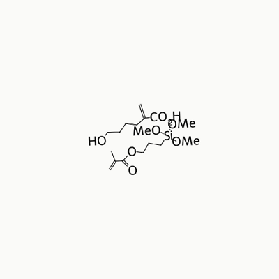 C=C(C)C(=O)OCCC[Si](OC)(OC)OC.C=C(CCCCO)C(=O)O